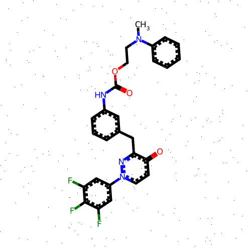 CN(CCOC(=O)Nc1cccc(Cc2nn(-c3cc(F)c(F)c(F)c3)ccc2=O)c1)c1ccccc1